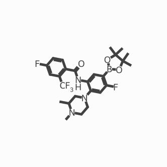 CC1CN(c2cc(F)c(B3OC(C)(C)C(C)(C)O3)cc2NC(=O)c2ccc(F)cc2C(F)(F)F)CCN1C